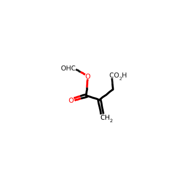 C=C(CC(=O)O)C(=O)OC=O